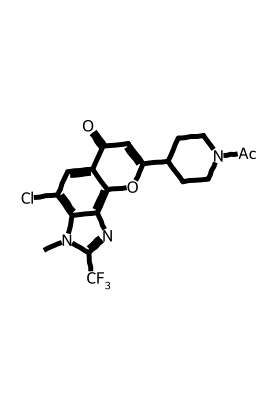 CC(=O)N1CCC(c2cc(=O)c3cc(Cl)c4c(nc(C(F)(F)F)n4C)c3o2)CC1